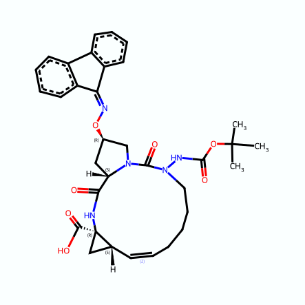 CC(C)(C)OC(=O)NN1CCCC/C=C\[C@@H]2C[C@@]2(C(=O)O)NC(=O)[C@@H]2C[C@@H](ON=C3c4ccccc4-c4ccccc43)CN2C1=O